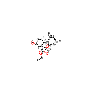 CCOC(=O)C1(C(C)=O)CC(OC)CCC1c1c(C)cc(C)cc1C